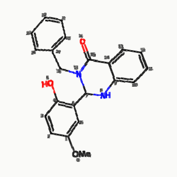 COc1ccc(O)c(C2Nc3ccccc3C(=O)N2Cc2ccccc2)c1